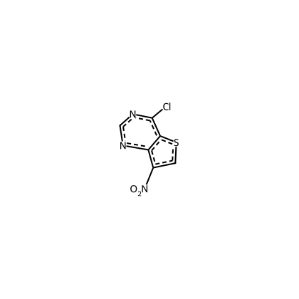 O=[N+]([O-])c1csc2c(Cl)ncnc12